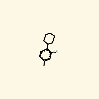 Cc1ccc(C2CCCCC2)c(O)c1